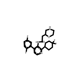 O=C(CC1CNCCO1)Nc1c(-c2cc(F)ccc2F)ccnc1C1CCC(F)(F)CC1